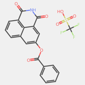 O=C(Oc1cc2c3c(cccc3c1)C(=O)NC2=O)c1ccccc1.O=S(=O)(O)C(F)(F)F